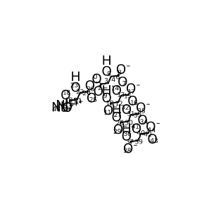 O=C([O-])CC(O)C(=O)[O-].O=C([O-])CC(O)C(=O)[O-].O=C([O-])CC(O)C(=O)[O-].O=C([O-])CC(O)C(=O)[O-].O=C([O-])CC(O)C(=O)[O-].[Nb+5].[Nb+5]